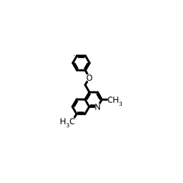 Cc1ccc2c(COc3cc[c]cc3)cc(C)nc2c1